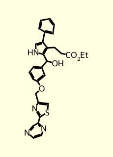 CCOC(=O)CCc1c(-c2ccccc2)c[nH]c1C(O)c1cccc(OCc2csc(-c3cnccn3)n2)c1